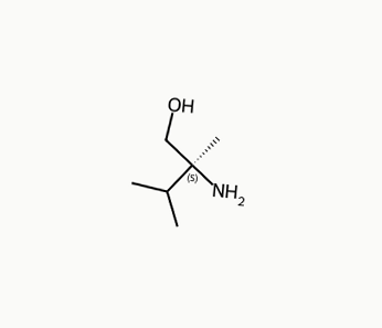 CC(C)[C@](C)(N)CO